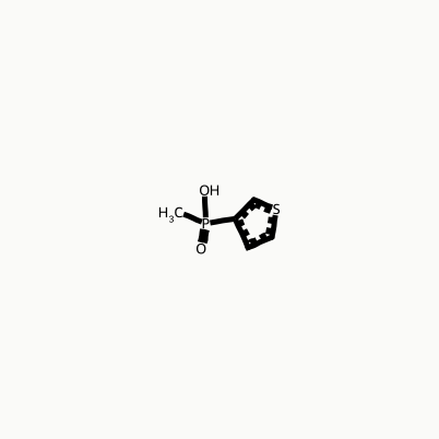 CP(=O)(O)c1ccsc1